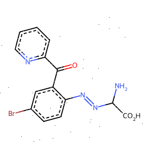 NC(N=Nc1ccc(Br)cc1C(=O)c1ccccn1)C(=O)O